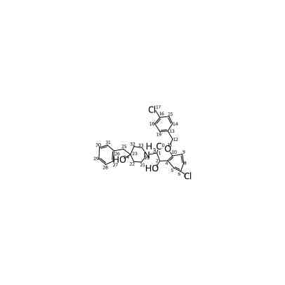 CC(C(O)c1cc(Cl)ccc1OCc1ccc(Cl)cc1)N1CCC(O)(Cc2ccccc2)CC1